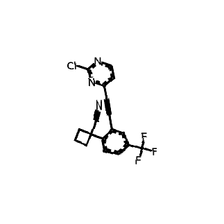 N#CC1(c2ccc(C(F)(F)F)cc2C#Cc2ccnc(Cl)n2)CCC1